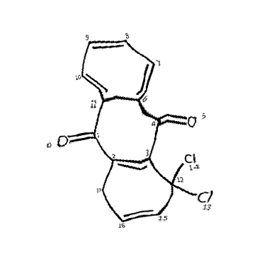 O=C1C2=C(C(=O)c3ccccc31)C(Cl)(Cl)C=CC2